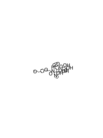 COCCc1ccc(OCCC(=O)N[C@H](CN2CCCC2)[C@H](O)c2cc3c(c(O[C@@H](C(=O)O)[C@@H](O)C(=O)O)c2)OCCO3)cc1